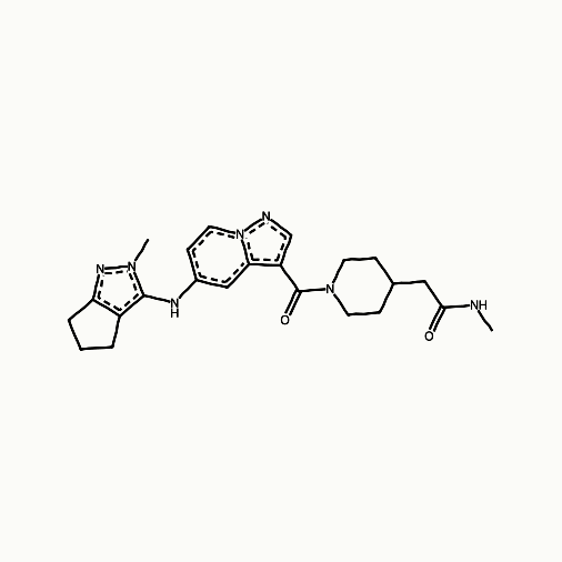 CNC(=O)CC1CCN(C(=O)c2cnn3ccc(Nc4c5c(nn4C)CCC5)cc23)CC1